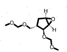 COCOC[C@@H]1C[C@H]2O[C@H]2[C@H]1OCOC